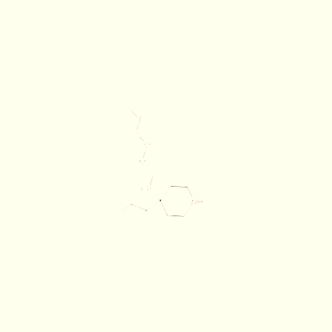 CCCC1(POOOOC=O)CCNCC1